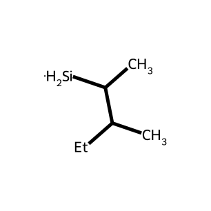 CCC(C)C(C)[SiH2]